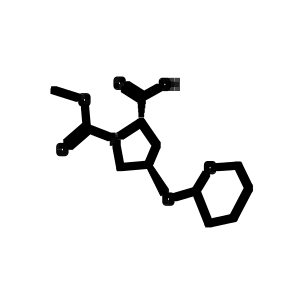 COC(=O)N1C[C@H](OC2CCCCO2)C[C@H]1C(=O)O